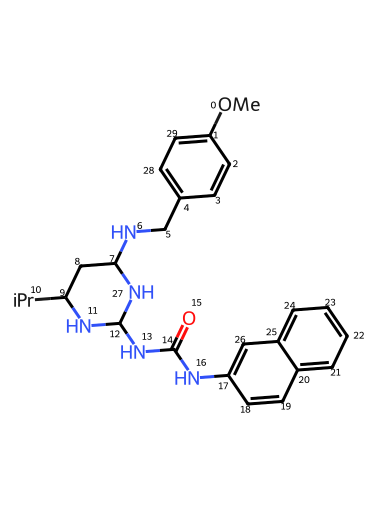 COc1ccc(CNC2CC(C(C)C)NC(NC(=O)Nc3ccc4ccccc4c3)N2)cc1